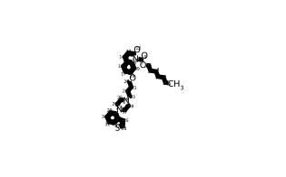 CCCCCCCOC(=O)n1c(=O)ccc2ccc(OCCCCN3CCN(c4cccc5sccc45)CC3)cc21